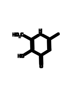 Cc1cc(=O)c(O)c(C(=O)O)[nH]1